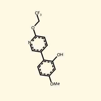 COc1ccc(-c2ccc(OCC(F)(F)F)nc2)c(O)c1